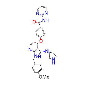 COc1ccc(Cn2nc(NC3CCNC3)c3c(Oc4ccc(C(=O)Nc5ncccn5)cc4)ccnc32)cc1